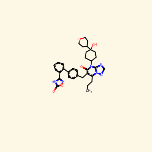 CCCc1c(Cc2ccc(-c3ccccc3-c3noc(=O)[nH]3)cc2)c(=O)n(C2CCC(O)(C3CCOCC3)CC2)c2ncnn12